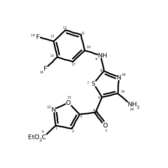 CCOC(=O)c1cc(C(=O)c2sc(Nc3ccc(F)c(F)c3)nc2N)on1